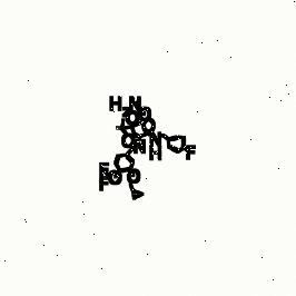 CC(C)(C)C(C)(OC(N)=O)c1oc(-c2ccc(OC(F)F)c(OCC3CC3)c2)nc1C(=O)NCc1ccc(F)cc1